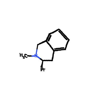 CC(C)[C@@H]1Cc2ccccc2CN1C